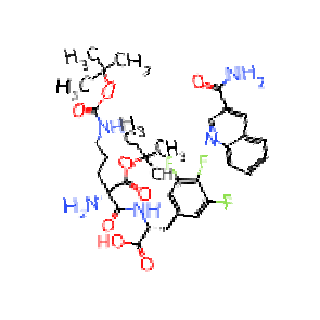 CC(C)(C)OC(=O)NCCC[C@](N)(C(=O)N[C@H](Cc1cc(F)c(F)c(F)c1)C(=O)O)C(=O)OC(C)(C)C.NC(=O)c1cnc2ccccc2c1